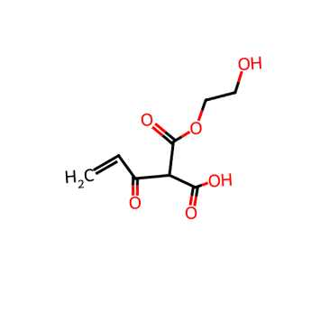 C=CC(=O)C(C(=O)O)C(=O)OCCO